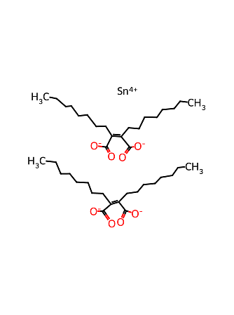 CCCCCCCC/C(C(=O)[O-])=C(\CCCCCCCC)C(=O)[O-].CCCCCCCC/C(C(=O)[O-])=C(\CCCCCCCC)C(=O)[O-].[Sn+4]